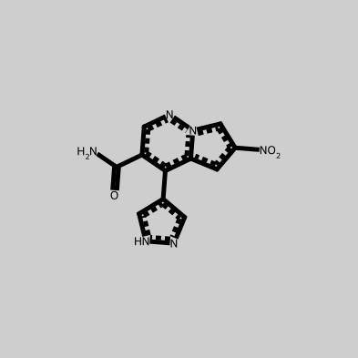 NC(=O)c1cnn2cc([N+](=O)[O-])cc2c1-c1cn[nH]c1